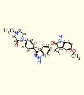 COc1ccc2c(c1)[C@]1(C[C@H]1c1ccc3c(-c4ccc(N5CCN(C)CC5=O)cc4)n[nH]c3c1)C(=O)N2